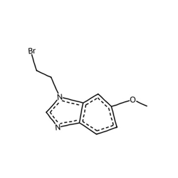 COc1ccc2ncn(CCBr)c2c1